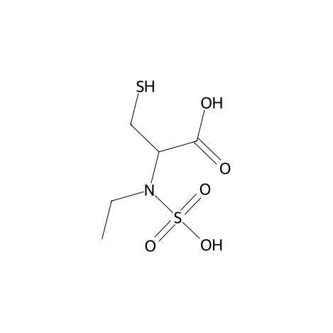 CCN(C(CS)C(=O)O)S(=O)(=O)O